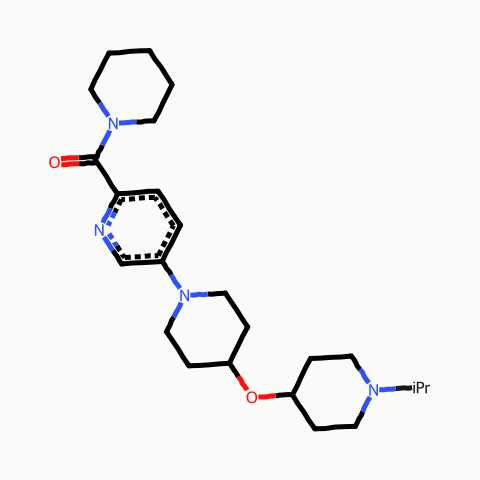 CC(C)N1CCC(OC2CCN(c3ccc(C(=O)N4CCCCC4)nc3)CC2)CC1